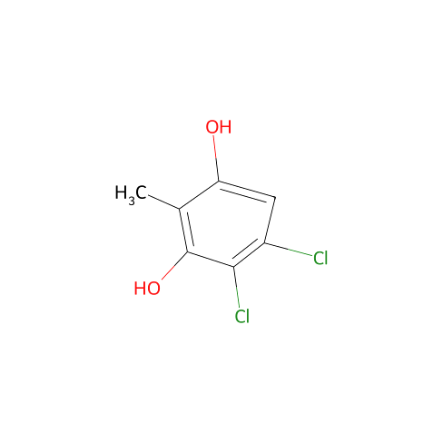 Cc1c(O)cc(Cl)c(Cl)c1O